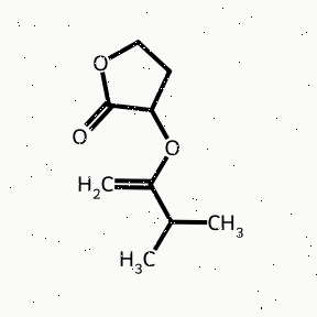 C=C(OC1CCOC1=O)C(C)C